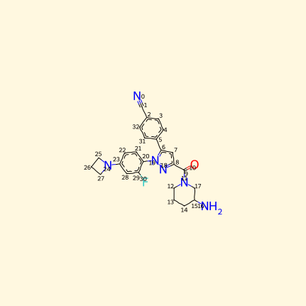 N#Cc1ccc(-c2cc(C(=O)N3CCCC(N)C3)nn2-c2ccc(N3CCC3)cc2F)cc1